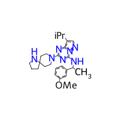 COc1cccc(C(C)Nc2nc(N3CCC4(CCCN4)CC3)nc3c(C(C)C)cnn23)c1